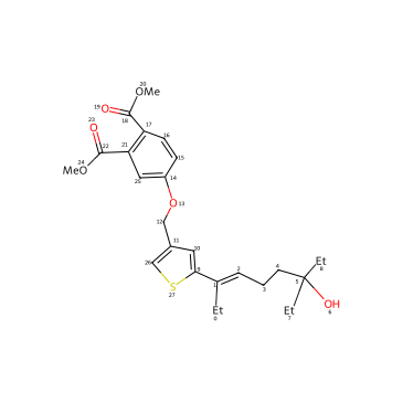 CCC(=CCCC(O)(CC)CC)c1cc(COc2ccc(C(=O)OC)c(C(=O)OC)c2)cs1